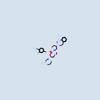 O=CC[C@@]1(N2CCC(N3CCCNCC3)CC2)CC(N2CCc3ccccc3NC2=O)CCN1C(=O)OCc1ccc(C(F)(F)F)c(Cl)c1